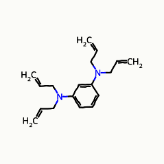 C=CCN(CC=C)c1cccc(N(CC=C)CC=C)c1